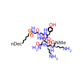 CCCCCCCCCCCCCCCCS(=O)(=O)NCC(=O)NCC(=O)N[C@@H](Cc1ccc(O)cc1)C(=O)N[C@@H](CCC(N)=O)C(=O)N[C@@H](CCCCN)C(=O)N[C@@H](CCCCN)C(=O)NC